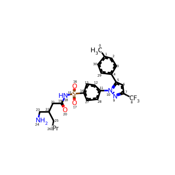 Cc1ccc(-c2cc(C(F)(F)F)nn2-c2ccc(S(=O)(=O)NC(=O)CC(CN)CC(C)C)cc2)cc1